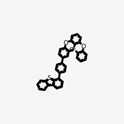 S=P12c3ccccc3Oc3cccc(c31)Oc1ccc(-c3ccc(-c4cccc5c4sc4ccccc45)cc3)cc12